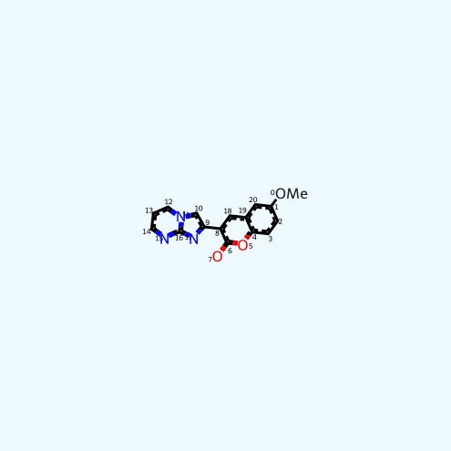 COc1ccc2oc(=O)c(-c3cn4cccnc4n3)cc2c1